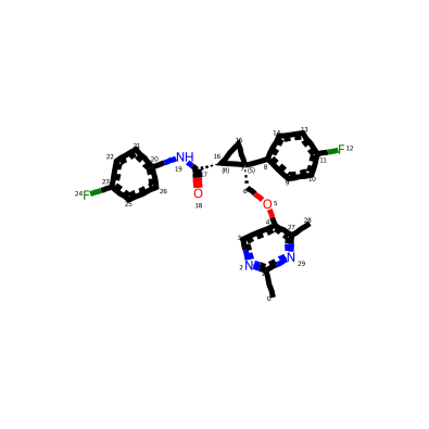 Cc1ncc(OC[C@@]2(c3ccc(F)cc3)C[C@H]2C(=O)Nc2ccc(F)cc2)c(C)n1